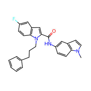 Cn1ccc2cc(NC(=O)c3cc4cc(F)ccc4n3CCCc3ccccc3)ccc21